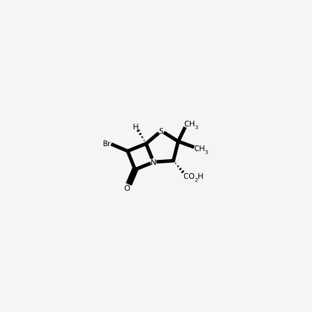 CC1(C)S[C@@H]2C(Br)C(=O)N2[C@H]1C(=O)O